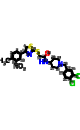 Cc1ccc(-c2csc(SCC(=O)NC3CCN(Cc4ccc(Cl)c(Cl)c4)CC3)n2)cc1[N+](=O)[O-]